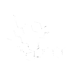 COc1cc(C#N)c(O[C@H]2CC[C@@](C)(C(=O)O)CC2)cc1C(=O)N(C)[C@@H]1[C@H]2CC[C@H](C2)[C@@H]1C(=O)NCc1cccc(C)c1